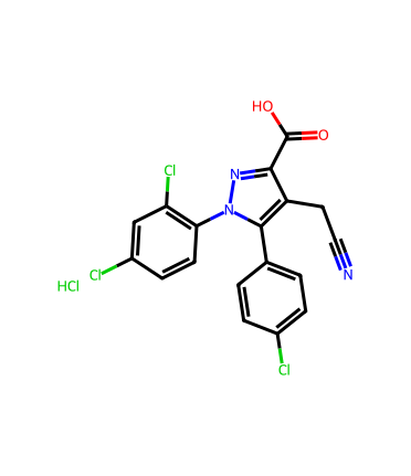 Cl.N#CCc1c(C(=O)O)nn(-c2ccc(Cl)cc2Cl)c1-c1ccc(Cl)cc1